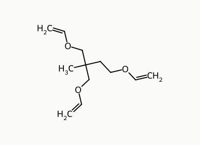 C=COCCC(C)(COC=C)COC=C